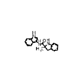 CC1(C(=O)Nc2c[nH]c3ccccc23)Cc2ccccc2N1